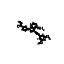 C=CC(=O)N1CC[C@H](n2nc(C#Cc3cc(OC)nc(OC)c3)c3c(N)ncnc32)C1